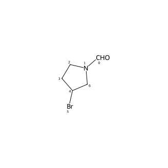 O=CN1CCC(Br)C1